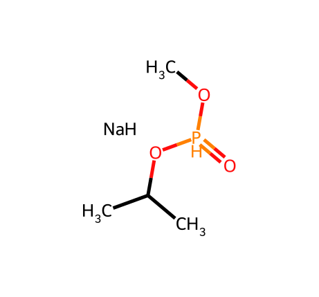 CO[PH](=O)OC(C)C.[NaH]